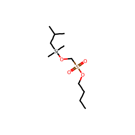 CCCCOS(=O)(=O)CO[Si](C)(C)CC(C)C